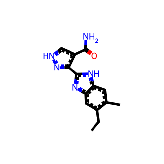 CCc1cc2nc(-c3n[nH]cc3C(N)=O)[nH]c2cc1C